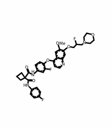 COc1cc2c(Oc3ccc(NC(=O)C4(C(=O)Nc5ccc(F)cc5)CCC4)cc3F)ccnc2cc1OCC(F)CN1CCOCC1